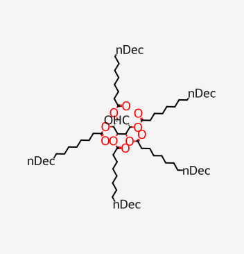 CCCCCCCCCCCCCCCCCC(=O)OC[C@@H](OC(=O)CCCCCCCCCCCCCCCCC)[C@H](OC(=O)CCCCCCCCCCCCCCCCC)[C@H](OC(=O)CCCCCCCCCCCCCCCCC)[C@H](C=O)OC(=O)CCCCCCCCCCCCCCCCC